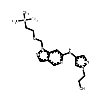 C[Si](C)(C)CCOCn1ncc2cnc(Nc3cnn(CCO)c3)cc21